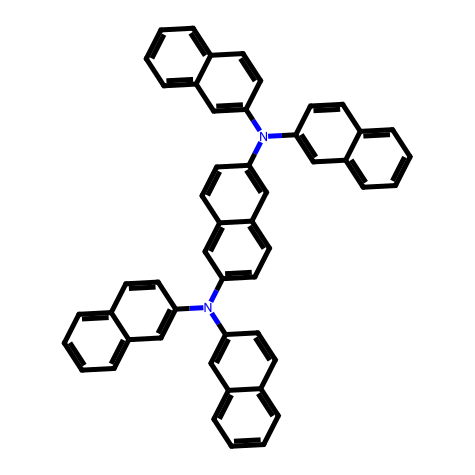 c1ccc2cc(N(c3ccc4ccccc4c3)c3ccc4cc(N(c5ccc6ccccc6c5)c5ccc6ccccc6c5)ccc4c3)ccc2c1